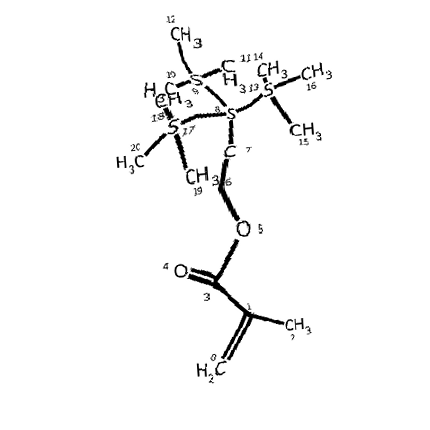 C=C(C)C(=O)OCCS(S(C)(C)C)(S(C)(C)C)S(C)(C)C